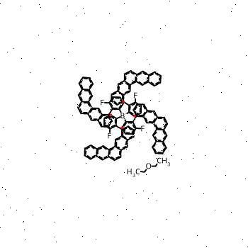 CCOCC.Fc1cccc([B-](c2cccc(F)c2-c2cccc3cc4ccc5cc6ccccc6cc5c4cc23)(c2cccc(F)c2-c2cccc3cc4ccc5cc6ccccc6cc5c4cc23)c2cccc(F)c2-c2cccc3cc4ccc5cc6ccccc6cc5c4cc23)c1-c1cccc2cc3ccc4cc5ccccc5cc4c3cc12